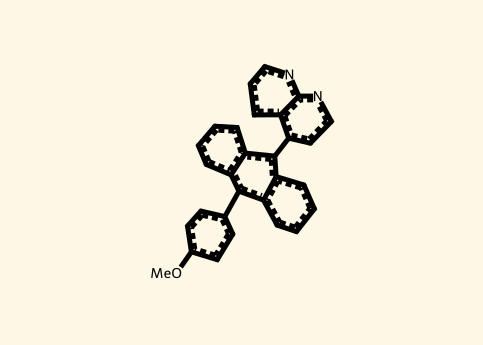 COc1ccc(-c2c3ccccc3c(-c3ccnc4ncccc34)c3ccccc23)cc1